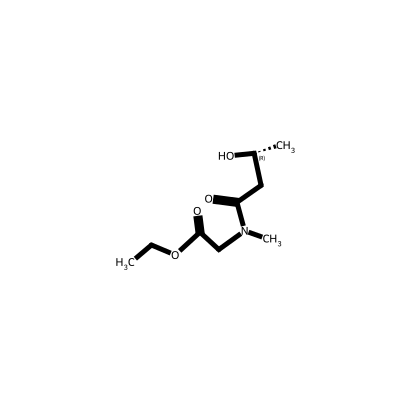 CCOC(=O)CN(C)C(=O)C[C@@H](C)O